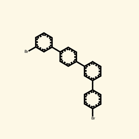 Brc1ccc(-c2cc[c]c(-c3ccc(-c4cccc(Br)c4)cc3)c2)cc1